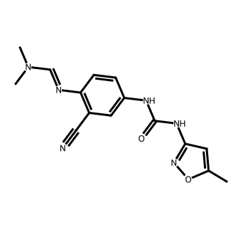 Cc1cc(NC(=O)Nc2ccc(/N=C/N(C)C)c(C#N)c2)no1